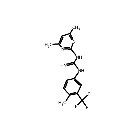 Cc1cc(C)nc(NC(=N)Nc2ccc(C)c(C(F)(F)F)c2)n1